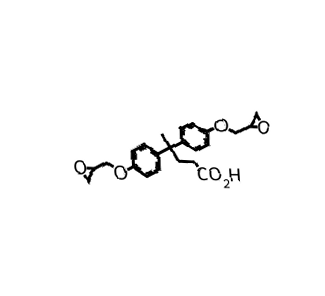 CC(CCC(=O)O)(c1ccc(OCC2CO2)cc1)c1ccc(OCC2CO2)cc1